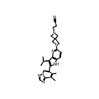 Cc1c(-c2[nH]c3ccc(N4CC5(CN(CCC#N)C5)C4)nc3c2C(C)C)cn2ncnc2c1C